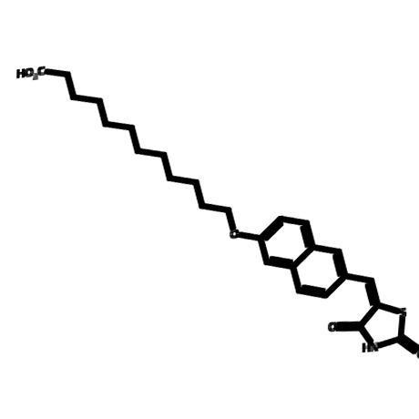 O=C(O)CCCCCCCCCCCOc1ccc2cc(C=C3SC(=O)NC3=O)ccc2c1